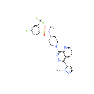 CN(C1CCN(c2nnc(-c3ccnn3C)c3cccnc23)CC1)S(=O)(=O)c1ccc(F)cc1C(F)(F)F